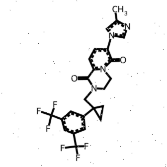 Cc1cn(-c2ccc3n(c2=O)CCN(CC2(c4cc(C(F)(F)F)cc(C(F)(F)F)c4)CC2)C3=O)cn1